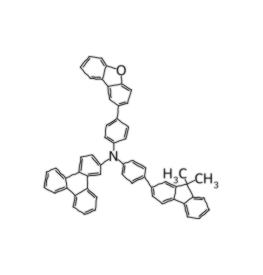 CC1(C)c2ccccc2-c2ccc(-c3ccc(N(c4ccc(-c5ccc6oc7ccccc7c6c5)cc4)c4ccc5c6ccccc6c6ccccc6c5c4)cc3)cc21